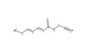 C#CCOC(=O)/C=C/C=C/CC(C)C